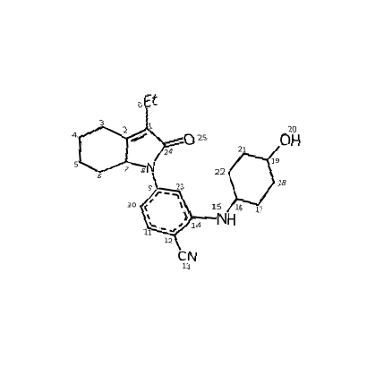 CCC1=C2CCCCC2N(c2ccc(C#N)c(NC3CCC(O)CC3)c2)C1=O